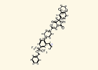 C/C=C\c1cc(C(OCc2ccccc2)(C(F)(F)F)C(F)(F)F)ccc1N1CCN(C(=O)CN2C(=O)NC(C)(c3cc4c(cn3)OCCO4)C2=O)CC1